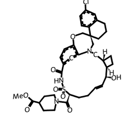 COC(=O)C1CCN(C(=O)[C@@H]2CC/C=C/[C@H](O)[C@@H]3CC[C@H]3CN3C[C@@]4(CCCc5cc(Cl)ccc54)COc4ccc(cc43)C(=O)NS2(=O)=O)CC1